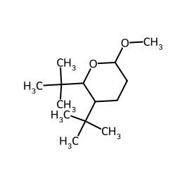 COC1CCC(C(C)(C)C)C(C(C)(C)C)O1